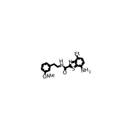 CCc1ccc(N)c2sc(C(=O)NCCc3cccc(OC)c3)nc12